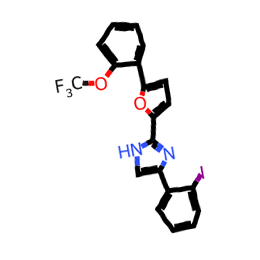 FC(F)(F)Oc1ccccc1-c1ccc(-c2nc(-c3ccccc3I)c[nH]2)o1